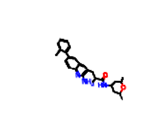 Cc1ccccc1-c1ccc2nc(N)c(CC(C)C(=O)NC3CC(C)OC(C)C3)cc2c1